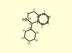 c1ccc2c(c1)CCNC2[C]1CCCCC1